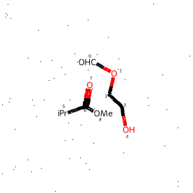 O=[C]OCCO.[CH2]C(C)C(=O)OC